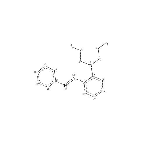 CCCN(CCC)c1ccccc1N=Nc1ccccc1